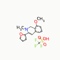 COc1cccc2c1CN(C)C(c1ccco1)=C2.O=S(=O)(O)C(F)(F)F